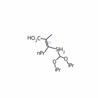 CCC/C([SiH2]C(OC(C)C)OC(C)C)=C(/C)C(=O)O